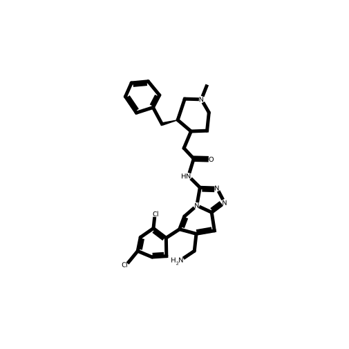 CN1CCC(CC(=O)Nc2nnc3cc(CN)c(-c4ccc(Cl)cc4Cl)cn23)[C@@H](Cc2ccccc2)C1